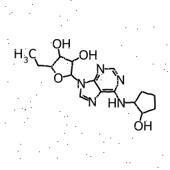 CCC1OC(n2cnc3c(NC4CCCC4O)ncnc32)C(O)C1O